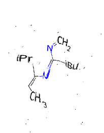 C=N/C(=N\C(=C/C)C(C)C)C(C)CC